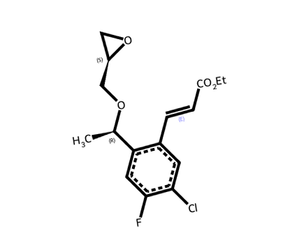 CCOC(=O)/C=C/c1cc(Cl)c(F)cc1[C@@H](C)OC[C@H]1CO1